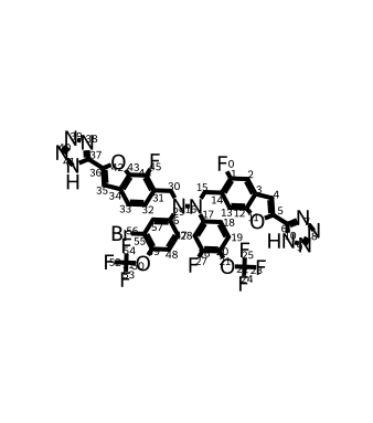 Fc1cc2cc(-c3nnn[nH]3)oc2cc1CN(c1ccc(OC(F)(F)F)c(F)c1)N(Cc1ccc2cc(-c3nnn[nH]3)oc2c1F)c1ccc(OC(F)(F)F)c(Br)c1